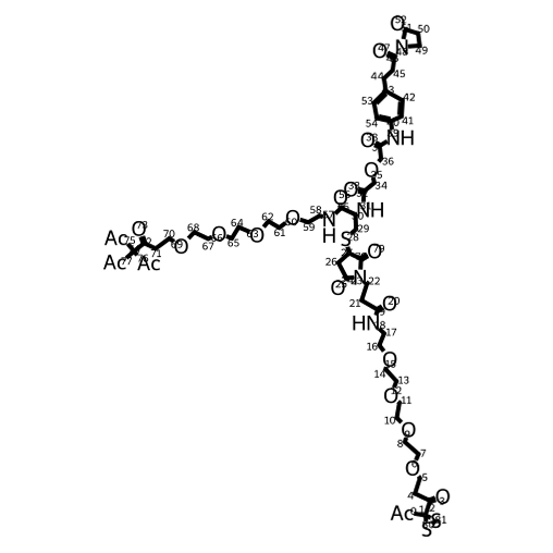 CC(=O)C1(C(=O)CCOCCOCCOCCOCCNC(=O)CCN2C(=O)CC(SCC(NC(=O)COCC(=O)Nc3ccc(CCC(=O)N4CCC4=O)cc3)C(=O)NCCOCCOCCOCCOCCC(=O)C(C(C)=O)(C(C)=O)C(C)=O)C2=O)SS1